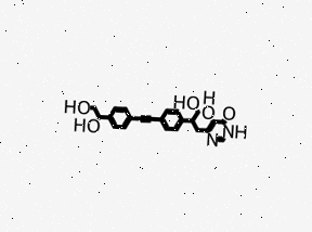 O=c1[nH]cnc(CC(CO)c2ccc(C#Cc3ccc(C(O)CO)cc3)cc2)c1O